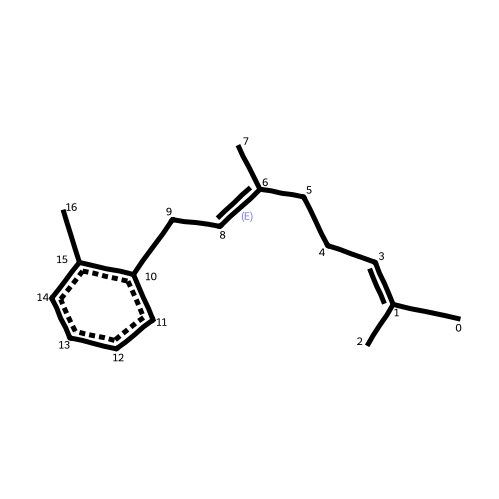 CC(C)=CCC/C(C)=C/Cc1ccccc1C